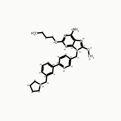 CCCCOc1nc(N)c2nc(OC)n(Cc3ccc(-c4cccc(CN5CCCC5)c4)nc3)c2n1